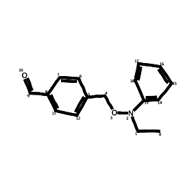 CCN(OCc1ccc(C=O)cc1)c1ccccc1